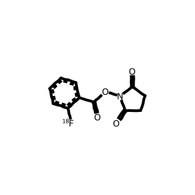 O=C(ON1C(=O)CCC1=O)c1ccccc1[18F]